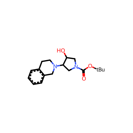 CC(C)(C)OC(=O)N1CC(O)C(N2CCc3ccccc3C2)C1